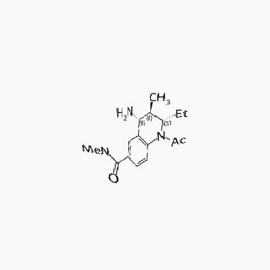 CC[C@H]1[C@H](C)[C@@H](N)c2cc(C(=O)NC)ccc2N1C(C)=O